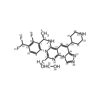 Cc1nc(N[C@H](C)c2cccc(C(F)F)c2F)c2cc(C3CCNCC3)c3nncn3c2n1.O=CO